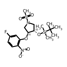 CC(C)(C)[Si](C)(C)O[C@H]1CN(S(C)(=O)=O)C[C@@H]1Oc1cc(F)ccc1[N+](=O)[O-]